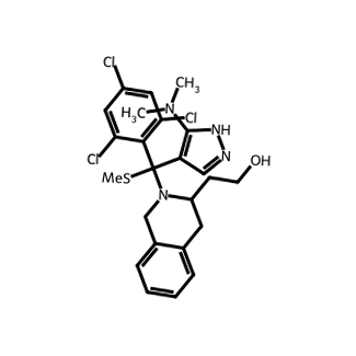 CSC(c1cn[nH]c1N(C)C)(c1c(Cl)cc(Cl)cc1Cl)N1Cc2ccccc2CC1CCO